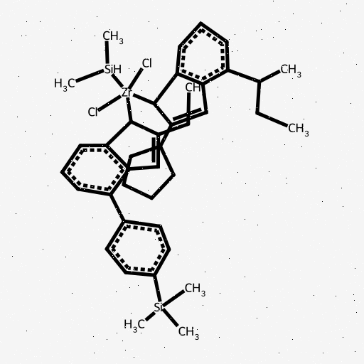 CCC1=Cc2c(-c3ccc([Si](C)(C)C)cc3)cccc2[CH]1[Zr]([Cl])([Cl])([CH]1C(C2CCCC2)=Cc2c(C(C)CC)cccc21)[SiH](C)C